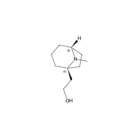 CN1[C@@H]2CCC[C@@]1(CCO)CC2